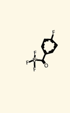 O=C(c1ccc(F)cc1)[B-](F)(F)F